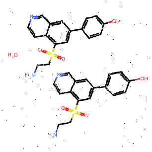 NCCS(=O)(=O)c1cc(-c2ccc(O)cc2)cc2cnccc12.NCCS(=O)(=O)c1cc(-c2ccc(O)cc2)cc2cnccc12.O